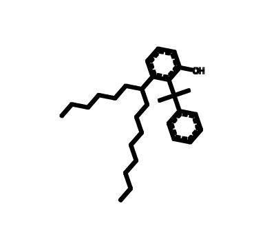 CCCCCCCCC(CCCCCC)c1cccc(O)c1C(C)(C)c1ccccc1